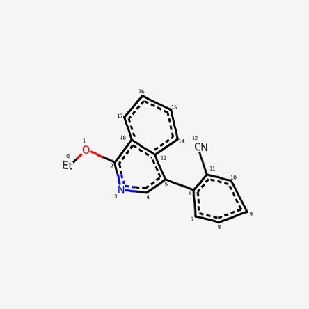 CCOc1ncc(-c2ccccc2C#N)c2ccccc12